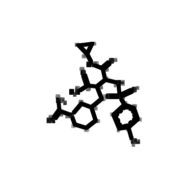 CC(C)(C)c1ccc(S(=O)(=O)NC(C(=O)NC2CC2)C(CC2CCCN(C(=N)N)C2)C(N)=O)cc1